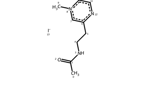 CC(=O)NCCc1c[n+](C)ccn1.[I-]